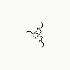 CCNOP(=O)(ONCC)ONCC